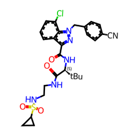 CC(C)(C)[C@H](NC(=O)c1nn(Cc2ccc(C#N)cc2)c2c(Cl)cccc12)C(=O)NCCNS(=O)(=O)C1CC1